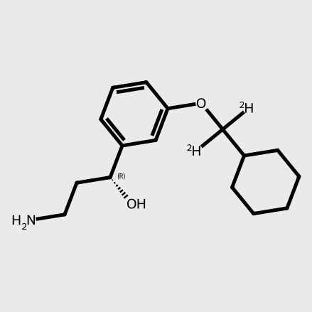 [2H]C([2H])(Oc1cccc([C@H](O)CCN)c1)C1CCCCC1